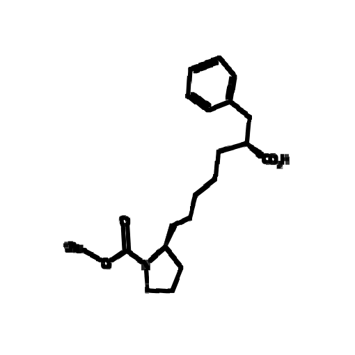 CC(C)(C)OC(=O)N1CCC[C@@H]1CCCCC[C@@H](Cc1ccccc1)C(=O)O